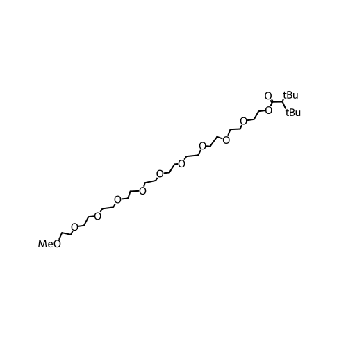 COCCOCCOCCOCCOCCOCCOCCOCCOCCOCCOC(=O)C(C(C)(C)C)C(C)(C)C